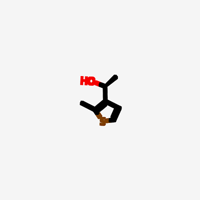 Cc1sccc1[C@H](C)O